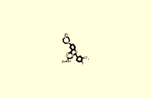 CC(C)NC(=O)Cn1c(-c2ccc(F)c(C(F)(F)F)c2)nc2ccc(N3CCCN(C(C)C)CC3)cc2c1=O